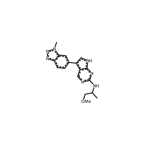 COCC(C)Nc1ncc2c(-c3ccc4nnn(C)c4c3)c[nH]c2n1